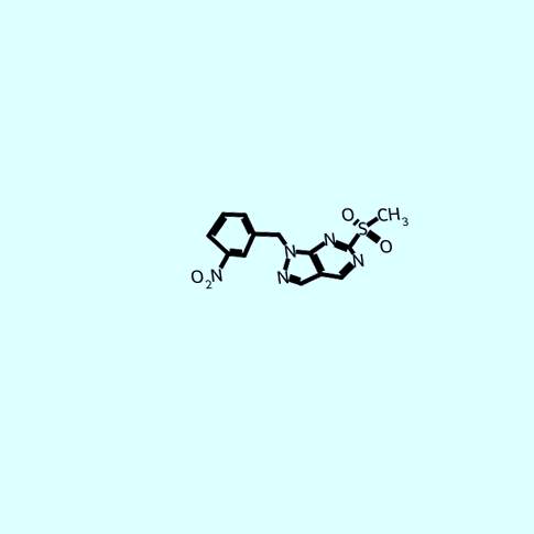 CS(=O)(=O)c1ncc2cnn(Cc3cccc([N+](=O)[O-])c3)c2n1